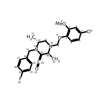 COc1cc(Cl)ccc1OCN1C[C@@H](C)N(Cc2ccc(F)cc2)C(=C=O)[C@@H]1C